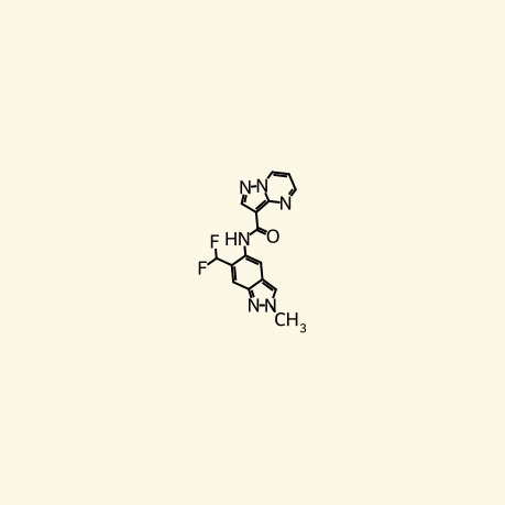 Cn1cc2cc(NC(=O)c3cnn4cccnc34)c(C(F)F)cc2n1